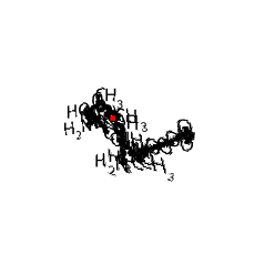 CCCCOc1nc(N)c2nc(O)n(Cc3ccc(CN(CC(C)(C)O)C(=O)OCc4ccc(NC(=O)[C@H](CCCCN)NC(=O)[C@@H](NC(=O)CCOCCOCCOCCN5C(=O)C=CC5=O)C(C)C)cc4)cc3OC)c2n1